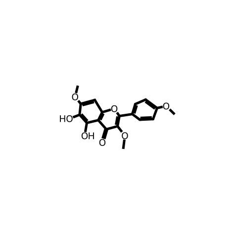 COc1ccc(-c2oc3cc(OC)c(O)c(O)c3c(=O)c2OC)cc1